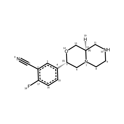 N#Cc1cc([C@H]2CN3CCNC[C@@H]3CO2)ccc1F